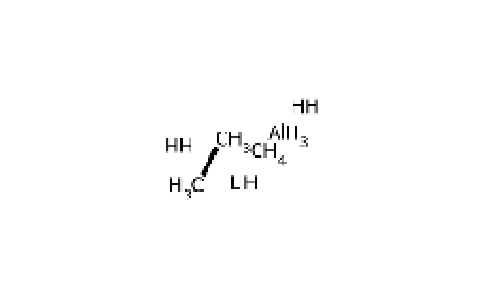 C.CC.[AlH3].[HH].[HH].[LiH]